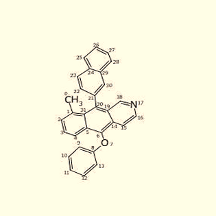 Cc1cccc2c(Oc3ccccc3)c3ccncc3c(-c3ccc4ccccc4c3)c12